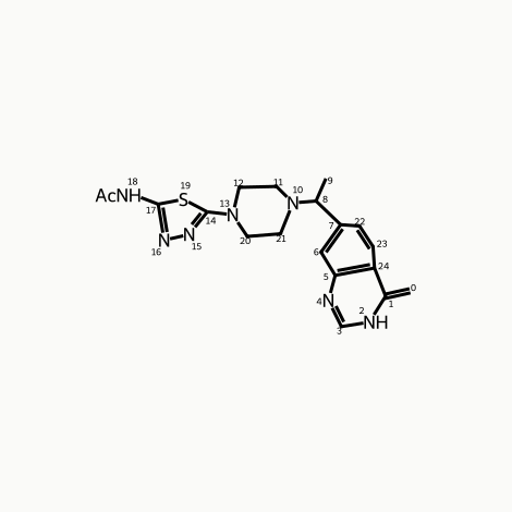 C=C1NC=Nc2cc(C(C)N3CCN(c4nnc(NC(C)=O)s4)CC3)ccc21